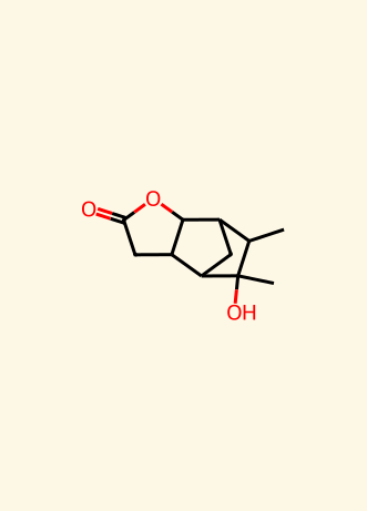 CC1C2CC(C3CC(=O)OC23)C1(C)O